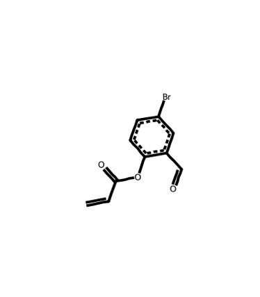 C=CC(=O)Oc1ccc(Br)cc1C=O